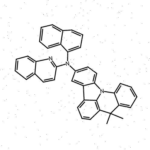 CC1(C)c2ccccc2-n2c3ccc(N(c4ccc5ccccc5n4)c4cccc5ccccc45)cc3c3cccc1c32